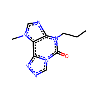 CCCn1c(=O)n2cnnc2c2c1ncn2C